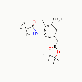 CCC1(C(=O)Nc2cc(CB3OC(C)(C)C(C)(C)O3)cc(C(=O)O)c2C)CC1